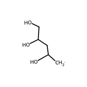 [CH2]C(O)CC(O)CO